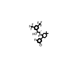 C[C@@H]([C@H](O)c1cc(C(F)(F)F)cc(C(F)(F)F)c1)N(C)C1=C(c2cc(F)cc(Cl)c2)CCC(C)(C)C1